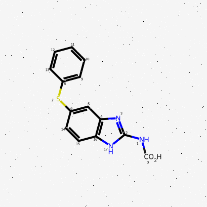 O=C(O)Nc1nc2cc(Sc3ccccc3)ccc2[nH]1